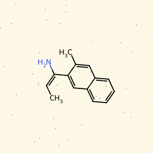 C/C=C(/N)c1cc2ccccc2cc1C